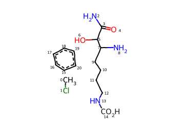 CCl.NC(=O)C(O)C(N)CCCCNC(=O)O.c1ccccc1